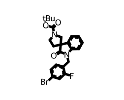 CC(C)(C)OC(=O)N1CCC2(C1)C(=O)N(Cc1ccc(Br)cc1F)c1ccccc12